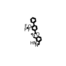 CN(Cc1cccc2cn[nH]c12)C(=O)c1ccc(-c2ccccc2)c(OC(F)(F)F)c1